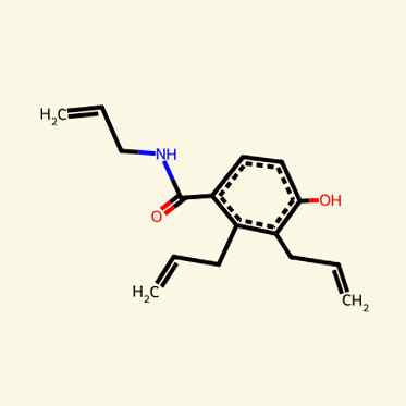 C=CCNC(=O)c1ccc(O)c(CC=C)c1CC=C